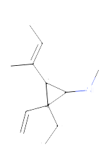 C=CC1(CC)C(NC)C1/C(C)=C/C